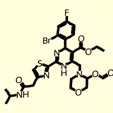 CCOC(=O)C1=C(CN2CCOCC2OC=O)NC(c2nc(CC(=O)NC(C)C)cs2)=NC1c1ccc(F)cc1Br